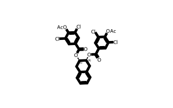 CC(=O)Oc1c(Cl)cc(C(=O)O[C@H]2Cc3ccccc3C[C@H]2OC(=O)c2cc(Cl)c(OC(C)=O)c(Cl)c2)cc1Cl